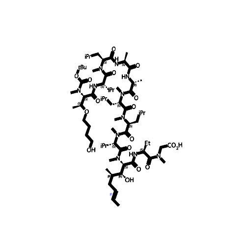 C/C=C/C[C@@H](C)[C@@H](O)[C@@H](C(=O)N[C@@H](CC)C(=O)N(C)CC(=O)O)N(C)C(=O)[C@H](C(C)C)N(C)C(=O)[C@H](CC(C)C)N(C)C(=O)[C@H](CC(C)C)N(C)C(=O)[C@@H](C)NC(=O)[C@H](C)NC(=O)[C@H](CC(C)C)N(C)C(=O)[C@@H](NC(=O)[C@H]([C@H](C)OCCCCO)N(C)C(=O)OC(C)(C)C)C(C)C